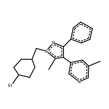 CCC1CCC(Cn2nc(-c3ccccc3)c(-c3cncc(C)c3)c2C)CC1